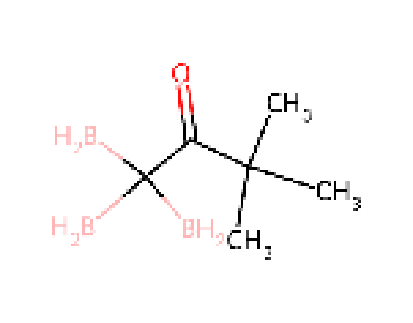 BC(B)(B)C(=O)C(C)(C)C